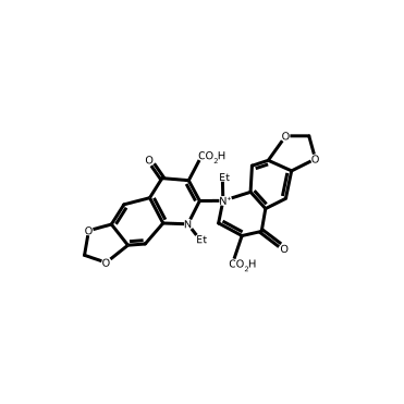 CCn1c([N+]2(CC)C=C(C(=O)O)C(=O)c3cc4c(cc32)OCO4)c(C(=O)O)c(=O)c2cc3c(cc21)OCO3